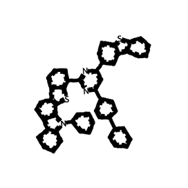 c1ccc(-c2ccc(-c3cc(-c4ccc5sc6ccccc6c5c4)nc(-c4cccc5c4sc4c5ccc5c6ccccc6n(-c6ccccc6)c54)n3)cc2)cc1